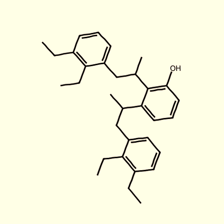 CCc1cccc(CC(C)c2cccc(O)c2C(C)Cc2cccc(CC)c2CC)c1CC